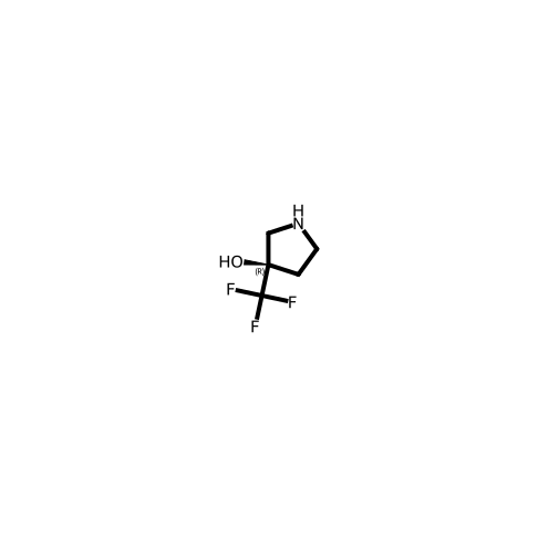 O[C@]1(C(F)(F)F)CCNC1